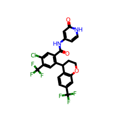 O=C(Nc1cc[nH]c(=O)c1)c1cc(Cl)c(C(F)(F)F)cc1C1CCOc2cc(C(F)(F)F)ccc21